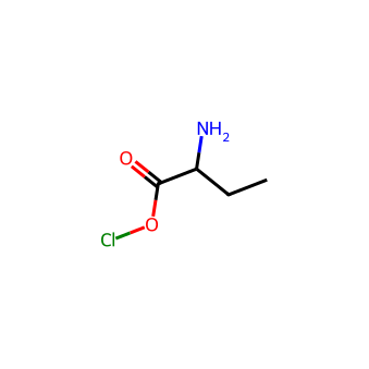 CCC(N)C(=O)OCl